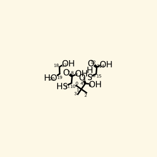 CC(C)(C)C(=O)O.O=C(O)CS.O=C(O)CS.OCCO